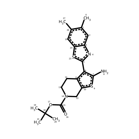 Cc1cc2nc(-c3c(N)sc4c3CCN(C(=O)OC(C)(C)C)C4)sc2cc1C